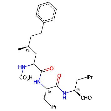 CC(C)C[C@@H](C=O)NC(=O)[C@H](CC(C)C)NC(=O)C(C[C@@H](C)CCc1ccccc1)NC(=O)O